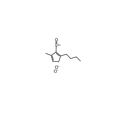 CCCCC1=[C]([V+2]=[O])C(C)=CC1.[Cl-].[Cl-]